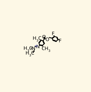 CCN(C)/C=N/c1cc(C)c(C(=O)OCc2ccc(F)cc2F)cc1C